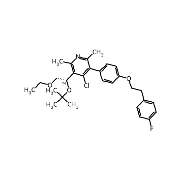 CCOC[C@@H](OC(C)(C)C)c1c(C)nc(C)c(-c2ccc(OCCc3ccc(F)cc3)cc2)c1Cl